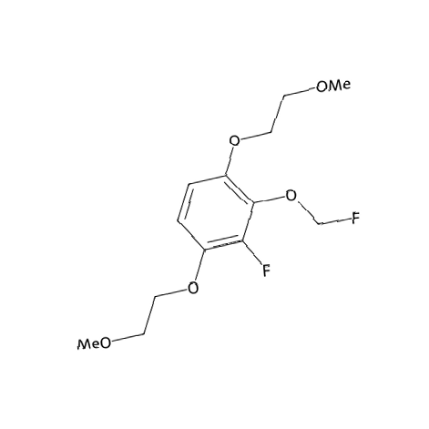 COCCOc1ccc(OCCOC)c(OCF)c1F